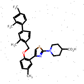 Cc1ccc(OCc2ccc(-c3ccc(C(F)(F)F)cc3C(F)(F)F)cc2C)c(-c2csc(N3CCC(C(=O)O)CC3)n2)c1